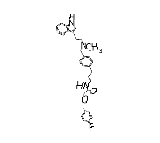 CN(CCc1c[nH]c2ccccc12)Cc1ccc(CCCNC(=O)COCc2ccc(F)cc2)cc1